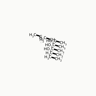 CC(=O)O.CC(=O)O.CC(=O)O.[CH2]C.[CH2]C.[CH2]C.[CH2]C